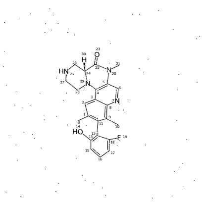 Cc1cc2c3c(cnc2c(C)c1-c1c(O)cccc1F)N(C)C(=O)[C@H]1CNCCN31